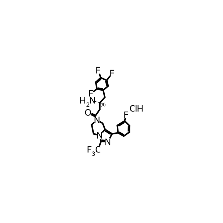 Cl.N[C@@H](CC(=O)N1CCn2c(C(F)(F)F)nc(-c3cccc(F)c3)c2C1)Cc1cc(F)c(F)cc1F